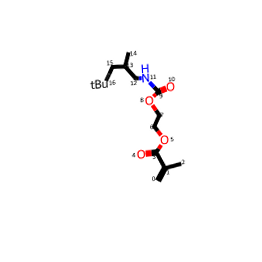 C=C(C)C(=O)OCCOC(=O)NCC(C)CC(C)(C)C